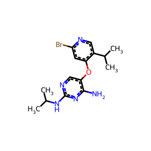 CC(C)Nc1ncc(Oc2cc(Br)ncc2C(C)C)c(N)n1